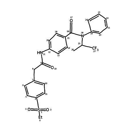 CCS(=O)(=O)c1ccc(CC(=O)Nc2ccc(C(=O)N(c3ccccc3)C(C)C(F)(F)F)cc2)cc1